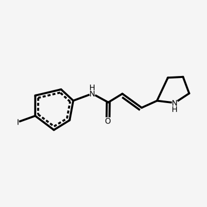 O=C(C=CC1CCCN1)Nc1ccc(I)cc1